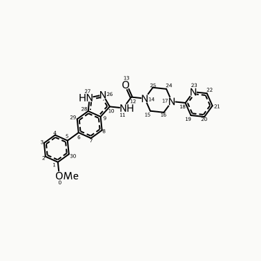 COc1cccc(-c2ccc3c(NC(=O)N4CCN(c5ccccn5)CC4)n[nH]c3c2)c1